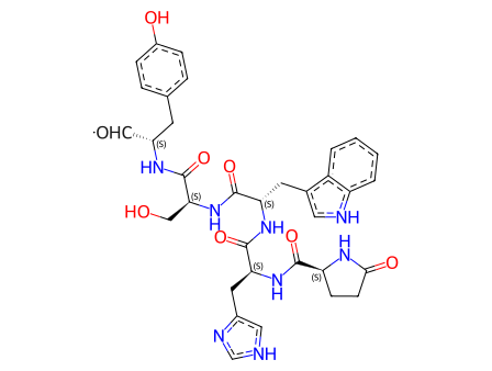 O=[C][C@H](Cc1ccc(O)cc1)NC(=O)[C@H](CO)NC(=O)[C@H](Cc1c[nH]c2ccccc12)NC(=O)[C@H](Cc1c[nH]cn1)NC(=O)[C@@H]1CCC(=O)N1